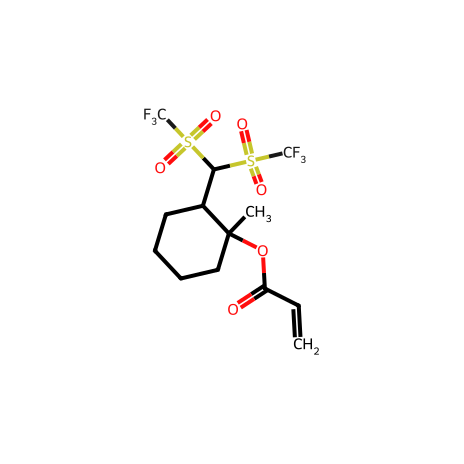 C=CC(=O)OC1(C)CCCCC1C(S(=O)(=O)C(F)(F)F)S(=O)(=O)C(F)(F)F